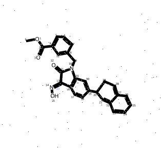 COC(=O)c1cccc(CN2C(=O)/C(=N/O)c3ccc(C4C=c5ccccc5=CC4)cc32)c1